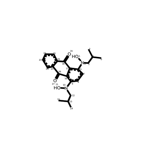 CC(C)CN(O)c1ccc(N(O)CC(C)C)c2c1C(=O)c1ccccc1C2=O